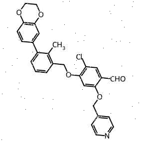 Cc1c(COc2cc(OCc3ccncc3)c(C=O)cc2Cl)cccc1-c1ccc2c(c1)OCCO2